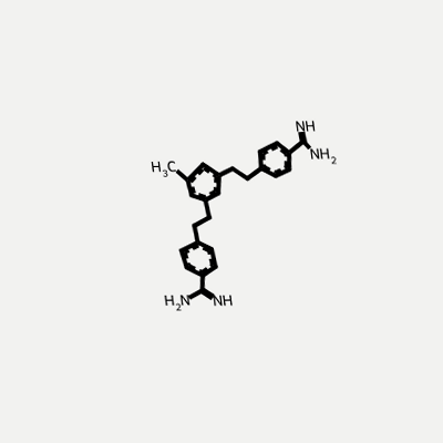 Cc1cc(CCc2ccc(C(=N)N)cc2)cc(CCc2ccc(C(=N)N)cc2)c1